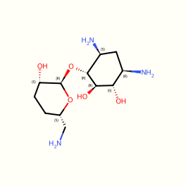 NC[C@@H]1CC[C@H](O)[C@@H](O[C@H]2[C@H](O)[C@@H](O)[C@H](N)C[C@@H]2N)O1